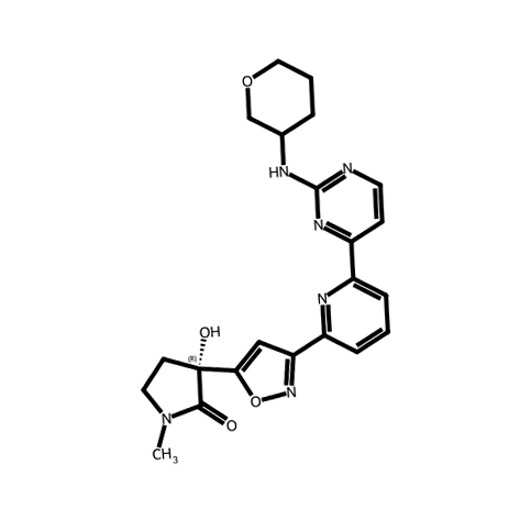 CN1CC[C@@](O)(c2cc(-c3cccc(-c4ccnc(NC5CCCOC5)n4)n3)no2)C1=O